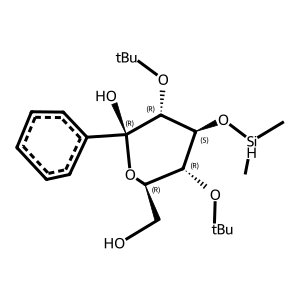 C[SiH](C)O[C@H]1[C@H](OC(C)(C)C)[C@@H](CO)O[C@](O)(c2ccccc2)[C@@H]1OC(C)(C)C